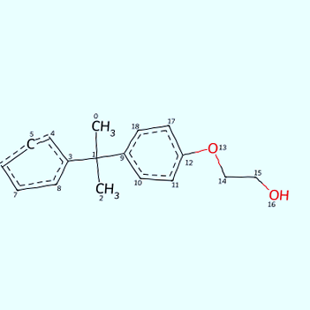 CC(C)(c1ccccc1)c1ccc(OCCO)cc1